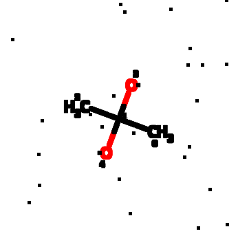 CC(C)([O])[O]